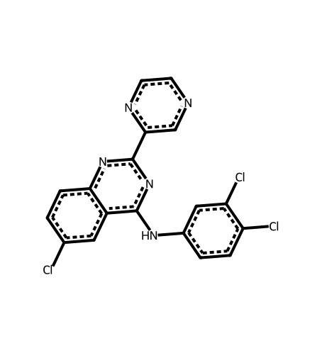 Clc1ccc2nc(-c3cnccn3)nc(Nc3ccc(Cl)c(Cl)c3)c2c1